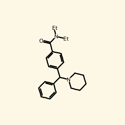 CCN(CC)C(=O)c1ccc(C(c2ccccc2)N2CCCCC2)cc1